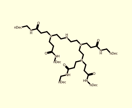 CCCCCCCCCCCNC(=O)CCN(CCNCCN(CCC(=O)NCCCCCCCCCCC)CCN(CCC(=O)NCCCCCCCCCC)CCC(=O)NCCCCCCCCCCC)CCC(=O)NCCCCCCCCCC